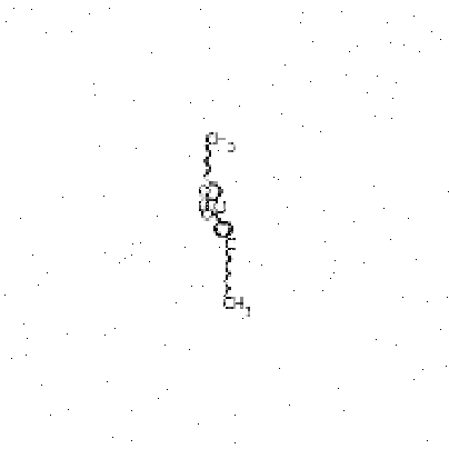 CCCCCCCCOc1ccc(C(=O)O[C@H]2CC[C@@H](CCCCCC)OC2=O)cc1